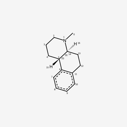 CN1CCC[C@H]2c3ccccc3CC[C@@H]21